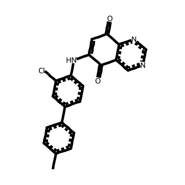 Cc1ccc(-c2ccc(NC3=CC(=O)c4ncncc4C3=O)c(Cl)c2)cc1